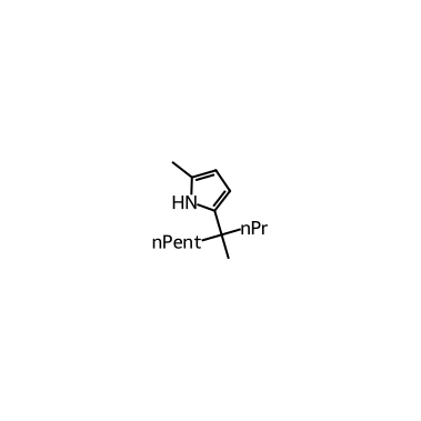 CCCCCC(C)(CCC)c1ccc(C)[nH]1